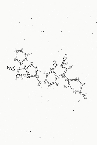 CC(O)(c1ccccc1)c1cnc(Sc2ccc3c(-c4ccc(F)cc4)cc(=O)oc3c2)s1